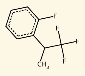 CC(c1ccccc1F)C(F)(F)F